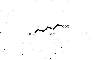 O=C([O-])CCCCCC(=O)[O-].[Ba+2]